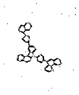 c1ccc2c(-c3ccc(-c4ccc5c(c4)c4c6ccccc6ccc4n5-c4ccc(-c5cc6cccnc6c6ncccc56)cn4)nc3)nccc2c1